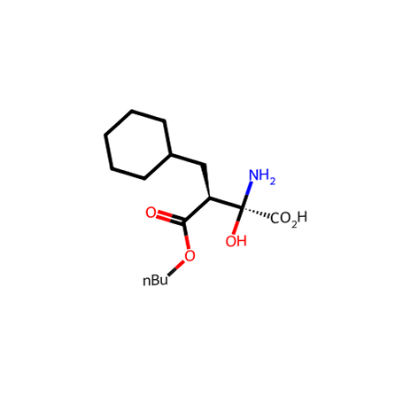 CCCCOC(=O)[C@@H](CC1CCCCC1)[C@@](N)(O)C(=O)O